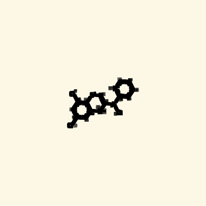 CCN(C1=NSc2c(Cl)cc(Cl)cc2N1)c1ccccn1